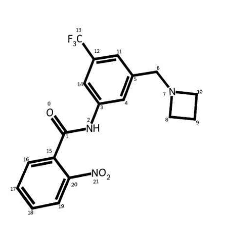 O=C(Nc1cc(CN2CCC2)cc(C(F)(F)F)c1)c1ccccc1[N+](=O)[O-]